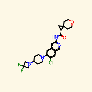 O=C(Nc1cc2cc(N3CCC(N4CC(F)(F)C4)CC3)c(Cl)cc2cn1)[C@H]1CC12CCOCC2